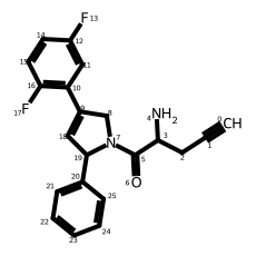 C#CCC(N)C(=O)N1CC(c2cc(F)ccc2F)=CC1c1ccccc1